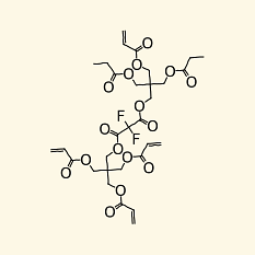 C=CC(=O)OCC(COC(=O)C=C)(COC(=O)C=C)COC(=O)C(F)(F)C(=O)OCC(COC(=O)C=C)(COC(=O)CC)COC(=O)CC